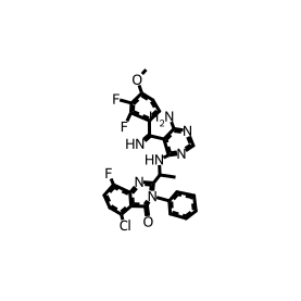 COc1ccc(C(=N)c2c(N)ncnc2NC(C)c2nc3c(F)ccc(Cl)c3c(=O)n2-c2ccccc2)c(F)c1F